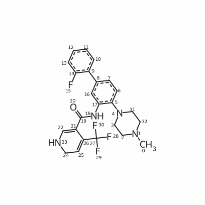 CN1CCN(c2ccc(-c3ccccc3F)cc2NC(=O)C2=CNCC=C2C(F)(F)F)CC1